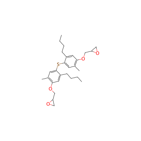 CCCCc1cc(OCC2CO2)c(C)cc1Sc1cc(C)c(OCC2CO2)cc1CCCC